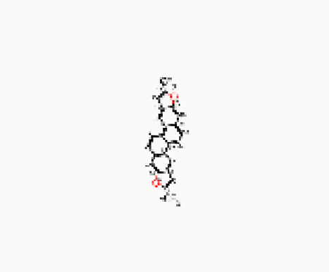 FC(F)(F)c1cc2cc3c(ccc4c5cc6cc(C(F)(F)F)oc6cc5ccc34)cc2o1